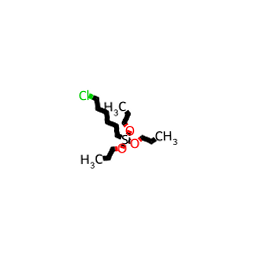 CCCO[Si](CCCCCCCl)(OCCC)OCCC